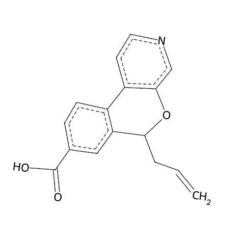 C=CCC1Oc2cnccc2-c2ccc(C(=O)O)cc21